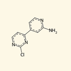 Nc1cc(-c2ccnc(Cl)n2)ccn1